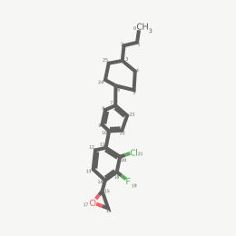 CCCC1CCC(c2ccc(-c3ccc(C4CO4)c(F)c3Cl)cc2)CC1